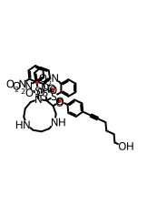 O=[N+]([O-])c1ccccc1S(=O)(=O)N1CCCNCCCNCC(Oc2ccc(C#CCCCCO)cc2)C1(S(=O)(=O)c1ccccc1[N+](=O)[O-])S(=O)(=O)c1ccccc1[N+](=O)[O-]